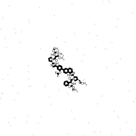 COC[C@H]1C[C@@H](c2nc3ccc4cc(-c5ccc(-c6cnc([C@@H]7CCCN7C(=O)C(NC(=O)OC)C(C)C)[nH]6)cc5OC(F)F)ccc4c3[nH]2)N(C(=O)[C@H](NC(=O)OC)c2ccccc2)C1